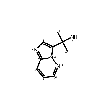 CC(C)(N)c1cnc2cccnn12